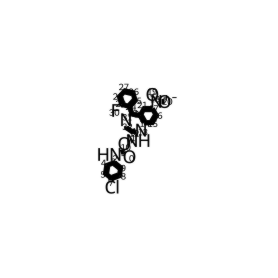 O=C(Nc1ccc(Cl)cc1)ONC1=Nc2ccc([N+](=O)[O-])cc2C(c2ccccc2F)=NC1